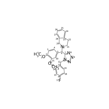 COc1ccc(C(c2nnnn2Cc2ccc(F)cc2)N2CCc3ccccc3C2)cc1OC